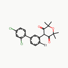 CCc1ccc(-c2ccc(Cl)cc2Cl)cc1C1C(=O)C(C)(C)OC(C)(C)C1=O